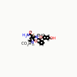 Cc1ccccc1C(CN(C=O)c1sc(C(N)=O)c(C)c1C(=O)N(C)C(C)(C)C(=O)O)OC1CC2CC(O)CC2C1